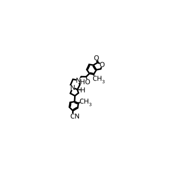 Cc1cc(C#N)ccc1C1C[C@H]2CN(C[C@H](O)c3ccc4c(c3C)COC4=O)CCN2C1